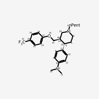 CCCCCN1CC[C@H](c2ccc(N(C)C)cc2)[C@@H](COc2ccc(C(F)(F)F)cc2)C1